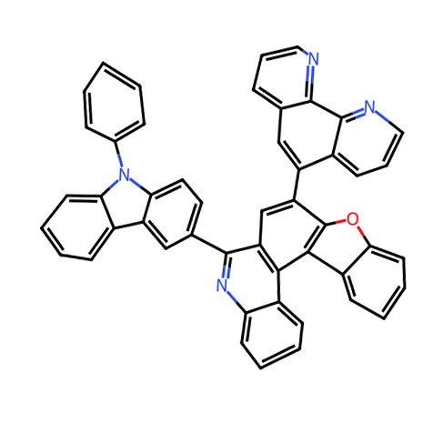 c1ccc(-n2c3ccccc3c3cc(-c4nc5ccccc5c5c4cc(-c4cc6cccnc6c6ncccc46)c4oc6ccccc6c45)ccc32)cc1